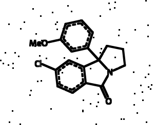 COc1cccc(C23CCCN2C(=O)c2ccc(Cl)cc23)c1